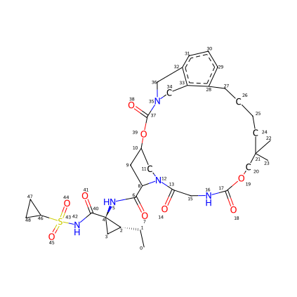 CC[C@@H]1C[C@]1(NC(=O)C1CC2CN1C(=O)CNC(=O)OCC(C)(C)CCCCc1cccc3c1CN(C3)C(=O)O2)C(=O)NS(=O)(=O)C1CC1